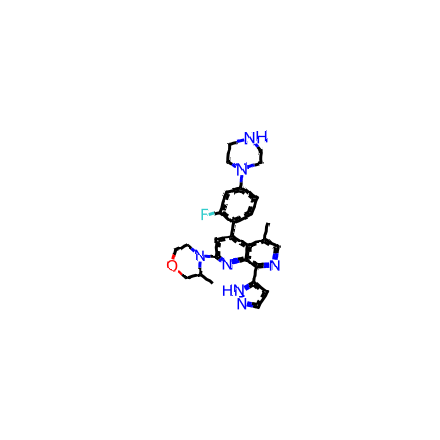 Cc1cnc(-c2ccn[nH]2)c2nc(N3CCOCC3C)cc(-c3ccc(N4CCNCC4)cc3F)c12